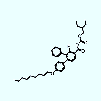 CCCCCCCCCOc1ccc(-c2ccc(C(=O)OC(=O)OCC(CC)CC)c(F)c2-c2ccccc2)cc1